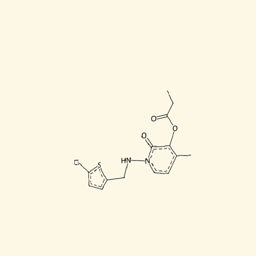 CCC(=O)Oc1c(C)ccn(NCc2ccc(Cl)s2)c1=O